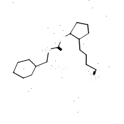 C=CCCCC1CCCC1OC(=O)N[C@H](C(=O)O)C1CCCCC1